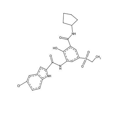 CCS(=O)(=O)c1cc(NC(=O)c2cc3cc(Cl)ccc3[nH]2)c(O)c(C(=O)NC2CCCC2)c1